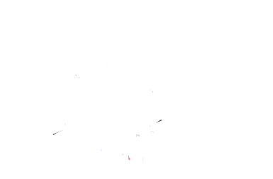 CC(C)[C@H]1[C@H](C)C/C=C/[C@H](O)[C@@H]2CC[C@H]2CN2CCCCc3cc(Cl)ccc3COc3ccc(cc32)C(=O)NS1(=O)=O